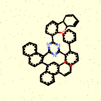 CC1CC=Cc2c1cc(-c1ccc3ccccc3c1-c1nc(-c3ccccc3-c3ccccc3)nc(-c3cccc4c3OC3C=CC=CC43)n1)c1ccccc21